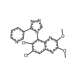 COc1nc2cc(Cl)c(Cl)c(-n3cnnc3-c3cccnc3)c2nc1OC